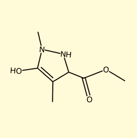 COC(=O)C1NN(C)C(O)=C1C